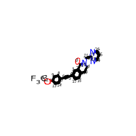 O=C1c2cc(C#Cc3ccc(OC(F)(F)F)cc3)ccc2CCN1Cc1ncccn1